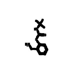 CC(C)(C)NC(=O)Oc1ccccc1CN